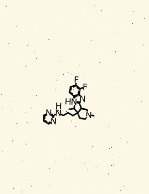 CC(C)C1(CCCNc2ncccn2)CCN(C)CC1c1nc2c(F)c(F)ccc2[nH]1